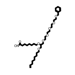 C=CCCCCCCCOCC(COCCOCCOCCOCCOCC1=CCCC=C1)OCCCCCCCC(=O)N=O